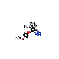 CCCCOc1ccc(OCc2cc(Cn3cncn3)cc(C(C)(C)C#N)c2)cc1